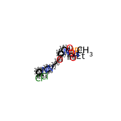 CCN(PC)C(=O)OC(C(C)C)N1C(=O)CCc2ccc(OCCCCN3CCN(c4cccc(Cl)c4Cl)CC3)cc21